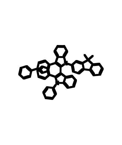 CC1(C)c2ccccc2-c2ccc(-n3c(-c4c(-c5ccccc5)n(-c5ccccc5)c5ccccc45)c(-c4ccc(-c5ccccc5)cc4)c4ccccc43)cc21